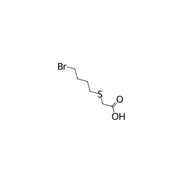 O=C(O)CSCCCCBr